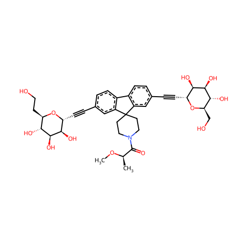 CO[C@H](C)C(=O)N1CCC2(CC1)c1cc(C#C[C@H]3O[C@H](CO)[C@@H](O)[C@H](O)[C@@H]3O)ccc1-c1ccc(C#C[C@H]3O[C@H](CCO)[C@@H](O)[C@H](O)[C@@H]3O)cc12